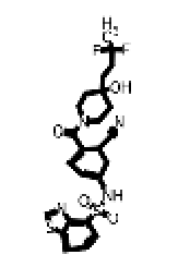 CC(F)(F)CCC1(O)CCN(C(=O)C2=CC=C(NS(=O)(=O)c3cccc4scnc34)CC2C#N)CC1